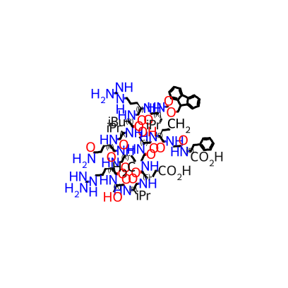 C=CC[C@H](NC(=O)[C@H](CO)NC(=O)CNC(=O)[C@H](CCC(=O)O)NC(=O)[C@H](NC(=O)[C@@H](CO)NC(=O)[C@@H](CCCNC(=N)N)NC(=O)[C@@H](CC=C)NC(=O)[C@@H](CCC(N)=O)NC(=O)[C@H](NC(=O)[C@H](NC(=O)[C@@H](CCCNC(=N)N)NC(=O)[C@@H](CC(C)C)NC(=O)OCC1c2ccccc2-c2ccccc21)C(C)CC)C(C)C)C(C)C)C(=O)NCC(=O)N[C@@H](Cc1ccccc1)C(=O)O